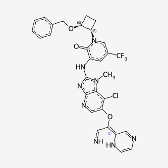 Cn1c(Nc2cc(C(F)(F)F)cn([C@@H]3CC[C@@H]3OCc3ccccc3)c2=O)nc2ncc(O/C(C=N)=C3\C=NC=CN3)c(Cl)c21